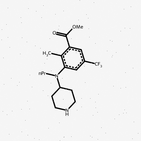 CCCN(c1cc(C(F)(F)F)cc(C(=O)OC)c1C)C1CCNCC1